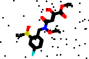 COC(=O)/C(O)=C/C(=O)N(Cc1ccc(F)cc1[S+](C)[O-])OC